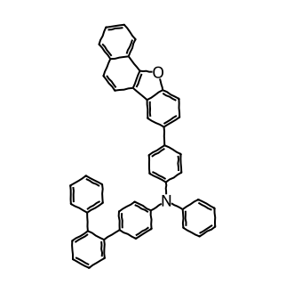 c1ccc(-c2ccccc2-c2ccc(N(c3ccccc3)c3ccc(-c4ccc5oc6c7ccccc7ccc6c5c4)cc3)cc2)cc1